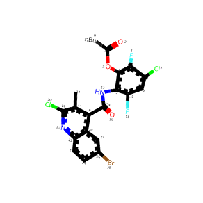 CCCCC(=O)Oc1c(F)c(Cl)cc(F)c1NC(=O)c1c(C)c(Cl)nc2ccc(Br)cc12